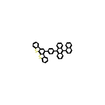 c1ccc2c(-c3c4ccccc4c(-c4ccc(-c5cc6c7ccccc7sc6c6sc7ccccc7c56)cc4)c4ccccc34)cccc2c1